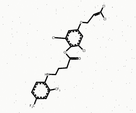 O=C(CCCNc1ccc(C(F)(F)F)cc1C(F)(F)F)Oc1c(Cl)cc(OCC=C(Cl)Cl)cc1Cl